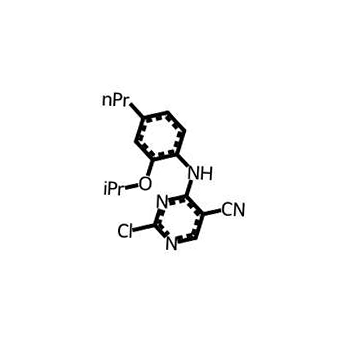 CCCc1ccc(Nc2nc(Cl)ncc2C#N)c(OC(C)C)c1